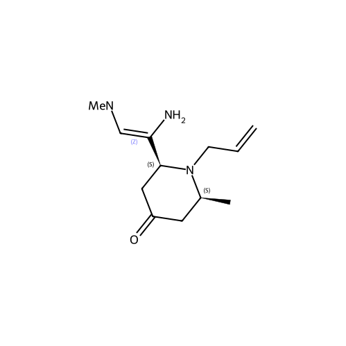 C=CCN1[C@@H](C)CC(=O)C[C@H]1/C(N)=C/NC